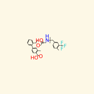 Cc1cc(-c2ccccc2C(C)OC[C@@H](O)CNC(C)(C)Cc2ccc(C)c(C(F)(F)F)c2)ccc1C(=O)O